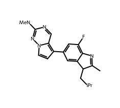 CNc1ncc2c(-c3cc(F)c4c(c3)C(CC(C)C)C(C)=N4)ccn2n1